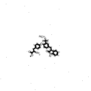 COC(=O)C(N)Cc1ccc(Oc2ccc(CC3C(=O)Nc4ccccc43)cc2C(F)(F)F)cc1.Cl